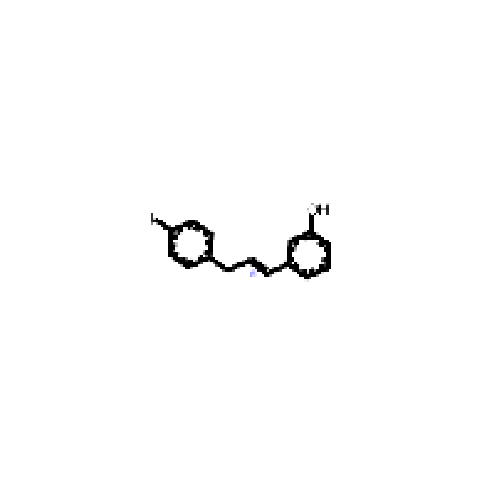 Oc1cccc(/C=C/Cc2ccc(I)cc2)c1